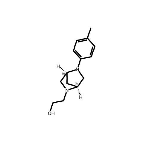 Cc1ccc(N2C[C@@H]3C[C@H]2CN3CCO)cc1